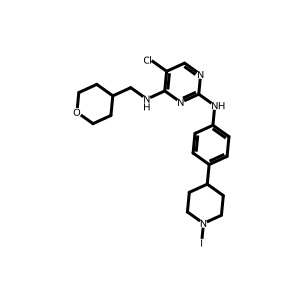 Clc1cnc(Nc2ccc(C3CCN(I)CC3)cc2)nc1NCC1CCOCC1